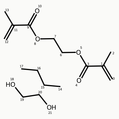 C=C(C)C(=O)OCCOC(=O)C(=C)C.CCCC.OCCO